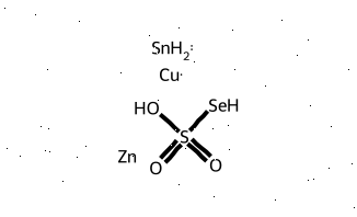 O=S(=O)(O)[SeH].[Cu].[SnH2].[Zn]